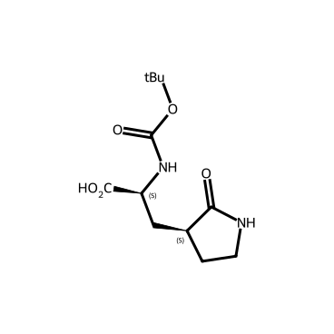 CC(C)(C)OC(=O)N[C@@H](C[C@@H]1CCNC1=O)C(=O)O